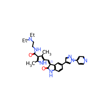 CCN(CC)CCNC(=O)c1c(C)[nH]c(/C=C2\C(=O)Nc3ccc(-c4cnn(-c5ccncc5)c4)cc32)c1C